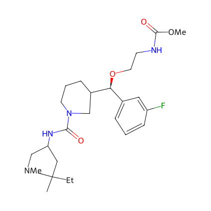 CCC(C)(C)CC(CNC)NC(=O)N1CCCC([C@@H](OCCNC(=O)OC)c2cccc(F)c2)C1